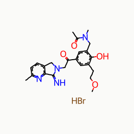 Br.COCCc1cc(C(=O)CN2Cc3ccc(C)nc3C2=N)cc(CN(C)C(C)=O)c1O